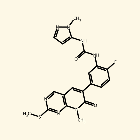 CSc1ncc2cc(-c3ccc(F)c(NC(=O)Nc4ccnn4C)c3)c(=O)n(C)c2n1